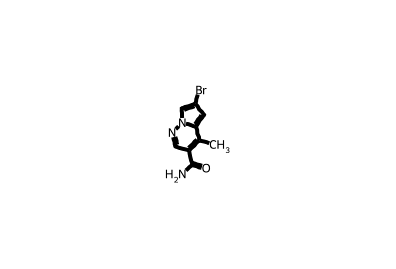 Cc1c(C(N)=O)cnn2cc(Br)cc12